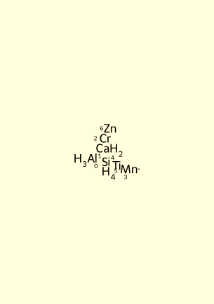 [AlH3].[CaH2].[Cr].[Mn].[SiH4].[Ti].[Zn]